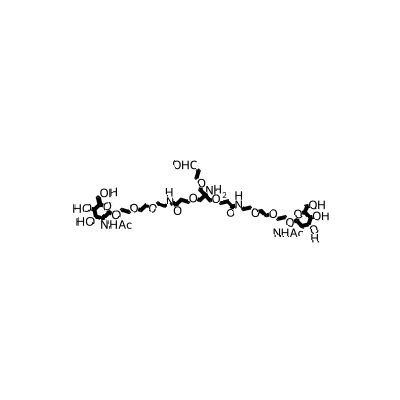 CC(=O)NC1C(OCCOCCOCCNC(=O)CCOCC(N)(COCCC=O)COCCC(=O)NCCOCCOCCOC2OC(CO)C(O)C(O)C2NC(C)=O)OC(CO)C(O)C1O